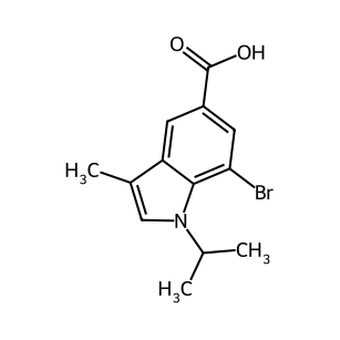 Cc1cn(C(C)C)c2c(Br)cc(C(=O)O)cc12